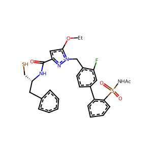 CCOc1cc(C(=O)N[C@@H](CS)Cc2ccccc2)nn1Cc1ccc(-c2ccccc2S(=O)(=O)NC(C)=O)cc1F